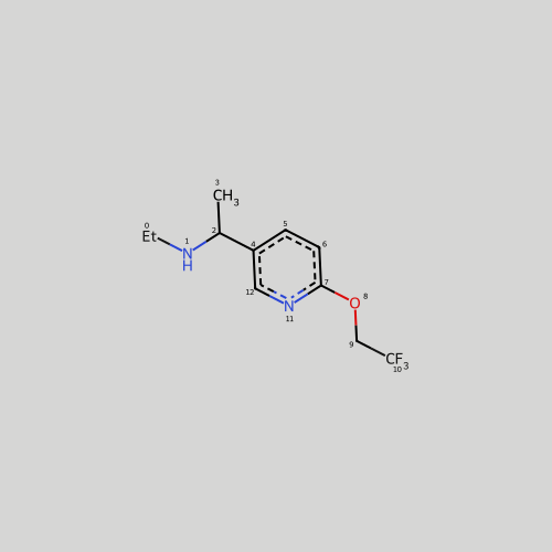 CCNC(C)c1ccc(OCC(F)(F)F)nc1